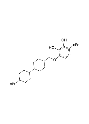 CCCc1ccc(OCC2CCC(C3CCC(CCC)CC3)CC2)c(O)c1O